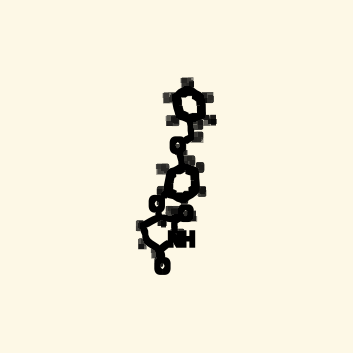 O=C1CCC(Oc2cccc(OCc3ccccc3)c2)C(=O)N1